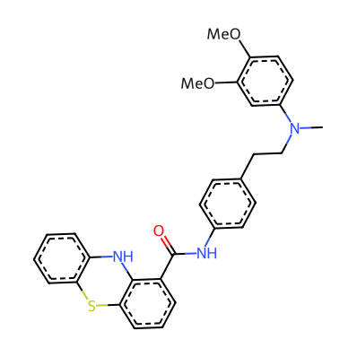 COc1ccc(N(C)CCc2ccc(NC(=O)c3cccc4c3Nc3ccccc3S4)cc2)cc1OC